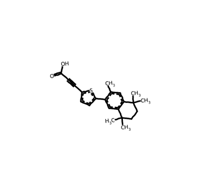 Cc1cc2c(cc1-c1ccc(C#CC(=O)O)s1)C(C)(C)CCC2(C)C